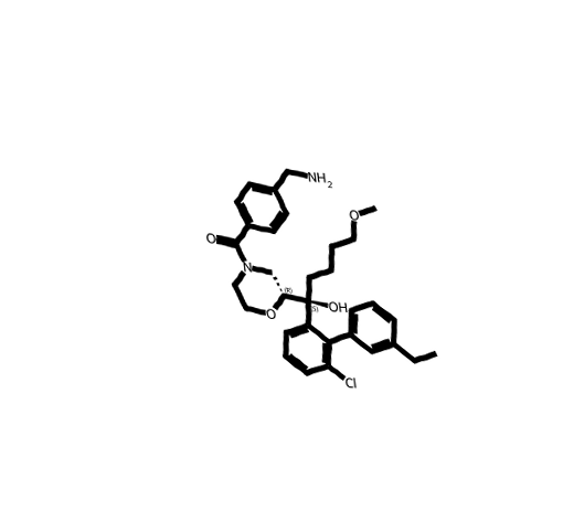 CCc1cccc(-c2c(Cl)cccc2[C@@](O)(CCCCOC)[C@H]2CN(C(=O)c3ccc(CN)cc3)CCO2)c1